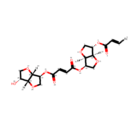 CC(=O)/C=C/C(=O)O[C@H]1CO[C@H]2[C@@H]1OC[C@H]2OC(=O)/C=C/C(=O)O[C@H]1CO[C@H]2[C@@H]1OC[C@H]2O